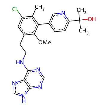 COc1c(CCNc2ncnc3[nH]cnc23)cc(Cl)c(C)c1-c1ccc(C(C)(C)O)nc1